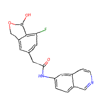 O=C(Cc1cc(F)c2c(c1)COB2O)Nc1ccc2cnccc2c1